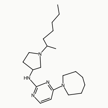 CCCCCC(C)N1CCC(Nc2nccc(N3CCCCCC3)n2)C1